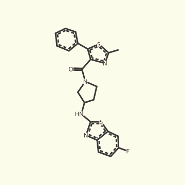 Cc1nc(C(=O)N2CCC(Nc3nc4ccc(F)cc4s3)C2)c(-c2ccccc2)s1